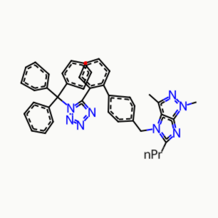 CCCc1nc2c(c(C)nn2C)n1Cc1ccc(-c2ccccc2-c2nnnn2C(c2ccccc2)(c2ccccc2)c2ccccc2)cc1